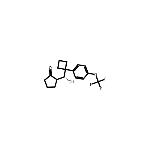 O=C1CCCC1[C@@H](O)C1(c2ccc(OC(F)(F)F)cc2)CCC1